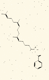 COP(=O)(OC(=O)c1ccccc1)C(CCCC=C(C)CCC=C(C)CCC=C(C)C)S(=O)(=O)O